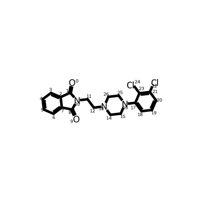 O=C1c2ccccc2C(=O)N1CCN1CCN(c2cccc(Cl)c2Cl)CC1